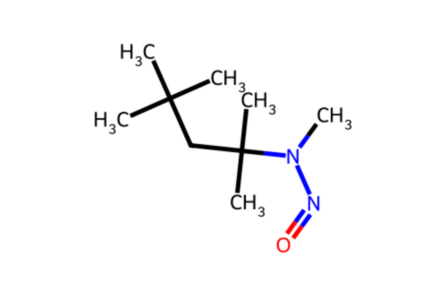 CN(N=O)C(C)(C)CC(C)(C)C